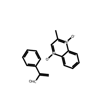 C=C(C=O)c1ccccc1.Cc1c[n+]([O-])c2ccccc2[n+]1[O-]